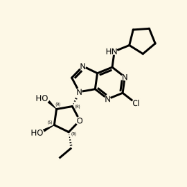 CC[C@H]1O[C@@H](n2cnc3c(NC4CCCC4)nc(Cl)nc32)[C@H](O)[C@@H]1O